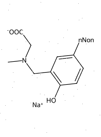 CCCCCCCCCc1ccc(O)c(CN(C)CC(=O)[O-])c1.[Na+]